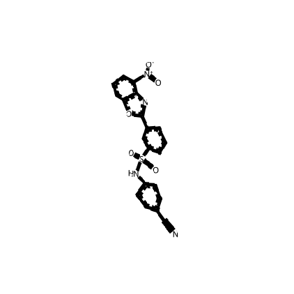 N#Cc1ccc(NS(=O)(=O)c2cccc(-c3nc4c([N+](=O)[O-])cccc4o3)c2)cc1